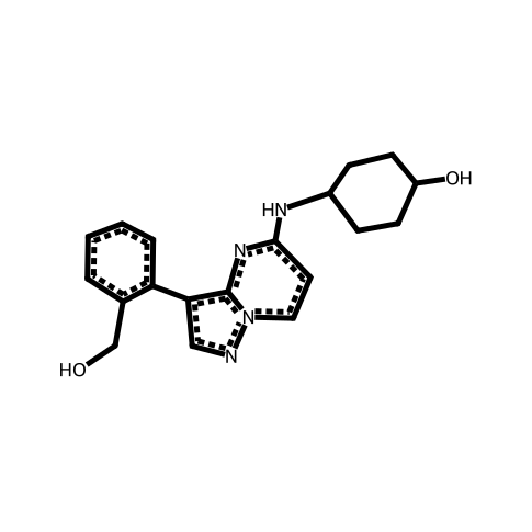 OCc1ccccc1-c1cnn2ccc(NC3CCC(O)CC3)nc12